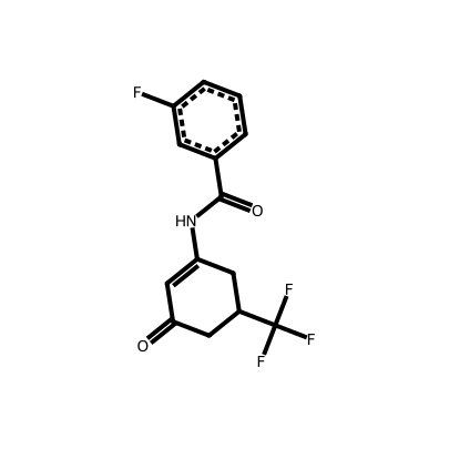 O=C1C=C(NC(=O)c2cccc(F)c2)CC(C(F)(F)F)C1